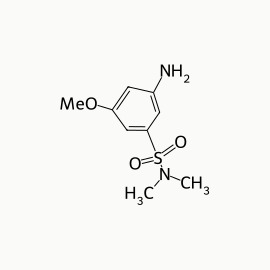 COc1cc(N)cc(S(=O)(=O)N(C)C)c1